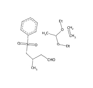 C=C.CC(CC=O)CS(=O)(=O)c1ccccc1.CCOC(C)OCC